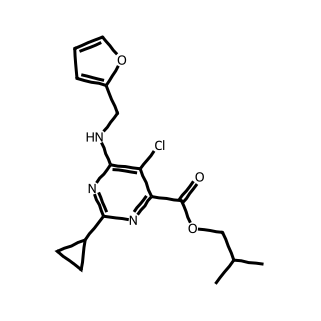 CC(C)COC(=O)c1nc(C2CC2)nc(NCc2ccco2)c1Cl